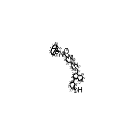 O=C(NCC12CC3CC(CC(C3)C1)C2)c1ccc(N2CCN(Cc3ccc(-c4cccc(O)c4)c4ccccc34)CC2)nn1